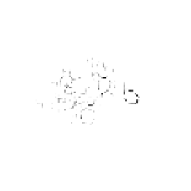 CC(C)[C@](C)(NC(=O)[C@H](Cc1c[nH]cn1)NC(=O)[C@H](Cc1ccccc1)NC(=O)OC(C)(C)C)C(O)(C(=O)O)C1CCCCC1